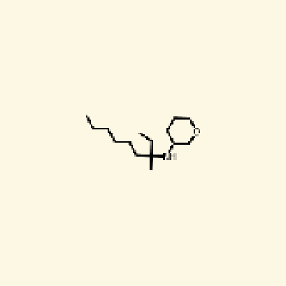 CCCCCCC(C)(CC)NC1CCCOC1